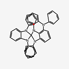 c1ccc(N2c3ccccc3N3c4c2cccc4N(c2ccccc2)C32N(c3ccccc3)c3ccccc3N2c2ccccc2)cc1